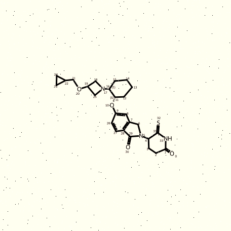 O=C1CCC(N2Cc3cc(O[C@H]4CCCC[C@@H]4N4CC(OCC5CC5)C4)ccc3C2=O)C(=S)N1